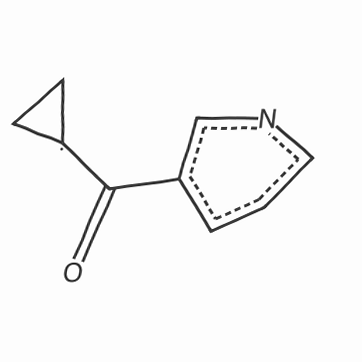 O=C([C]1CC1)c1cccnc1